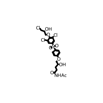 CC(=O)NC(=O)CC[C@H](O)COc1ccc(S(=O)(=O)c2cc(Cl)c(OC[C@H](O)CCl)c(Cl)c2)cc1